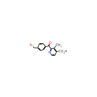 Cc1c(C(=O)O)ccnc1C(=O)c1ccc(CBr)cc1